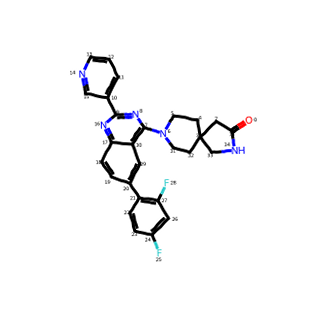 O=C1CC2(CCN(c3nc(-c4cccnc4)nc4ccc(-c5ccc(F)cc5F)cc34)CC2)CN1